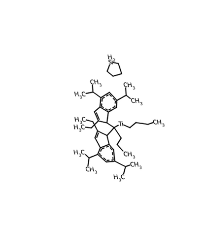 C1CC[SiH2]C1.CCC[CH2][Ti][C](CCC)(C1C(CC)=Cc2c(C(C)C)cc(C(C)C)cc21)C1C(CC)=Cc2c(C(C)C)cc(C(C)C)cc21